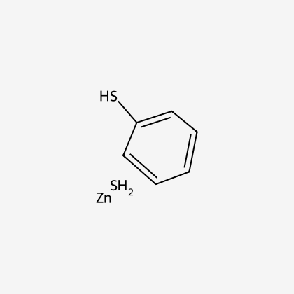 S.Sc1ccccc1.[Zn]